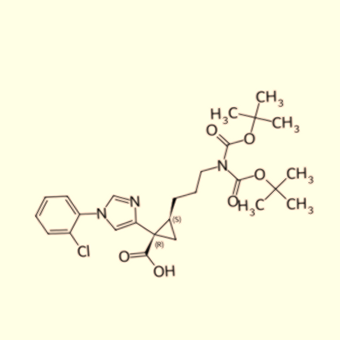 CC(C)(C)OC(=O)N(CCC[C@H]1C[C@]1(C(=O)O)c1cn(-c2ccccc2Cl)cn1)C(=O)OC(C)(C)C